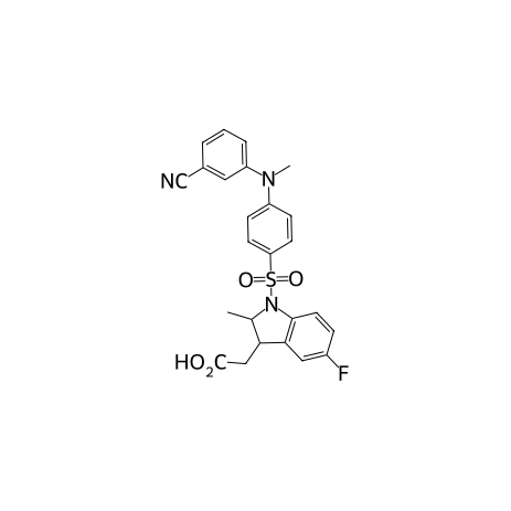 CC1C(CC(=O)O)c2cc(F)ccc2N1S(=O)(=O)c1ccc(N(C)c2cccc(C#N)c2)cc1